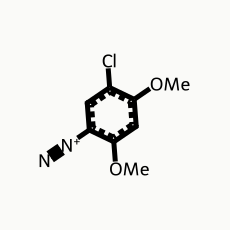 COc1cc(OC)c([N+]#N)cc1Cl